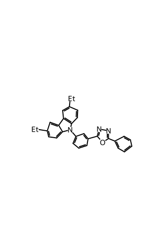 CCc1ccc2c(c1)c1cc(CC)ccc1n2-c1cccc(-c2nnc(-c3ccccc3)o2)c1